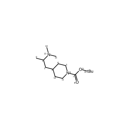 CC(CC1CCN(C(=O)OC(C)(C)C)CC1)N(C)C